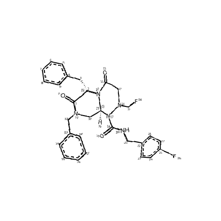 O=C1[C@H](Cc2ccccc2)N2C(=O)CN(CF)N(C(=O)NCc3ccc(F)cc3)[C@H]2CN1Cc1ccccc1